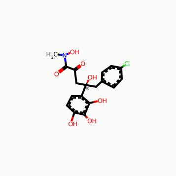 CN(O)C(=O)C(=O)C[C@](O)(Cc1ccc(Cl)cc1)c1ccc(O)c(O)c1O